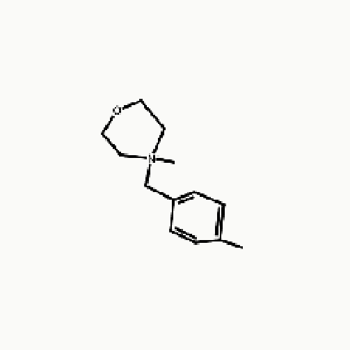 [CH2]c1ccc(C[N+]2(C)CCOCC2)cc1